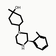 Cc1ccccc1[C@@H]1CN(C2CCC(C)(O)CC2)CCN1